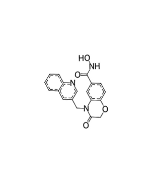 O=C(NO)c1ccc2c(c1)N(Cc1cnc3ccccc3c1)C(=O)CO2